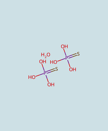 O.OP(O)(O)=S.OP(O)(O)=S